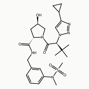 CN(c1cccc(CNC(=O)[C@@H]2C[C@@H](O)CN2C(=O)[C@@H](n2cc(C3CC3)nn2)C(C)(C)C)c1)S(C)(=O)=O